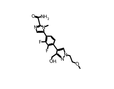 COCCn1cc(-c2ccc(-c3cnc(C(N)=O)n3C)c(F)c2F)c(CO)n1